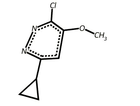 COc1cc(C2CC2)nnc1Cl